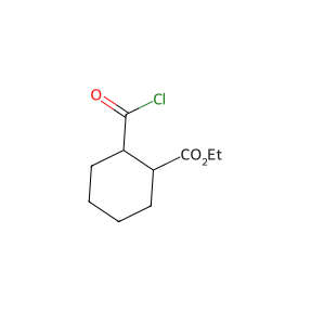 CCOC(=O)C1CCCCC1C(=O)Cl